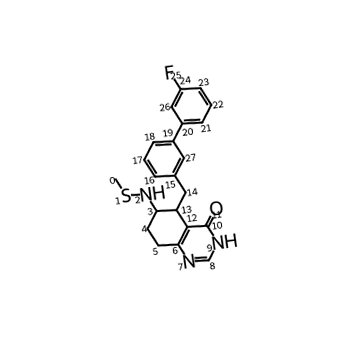 CSNC1CCc2nc[nH]c(=O)c2C1Cc1cccc(-c2cccc(F)c2)c1